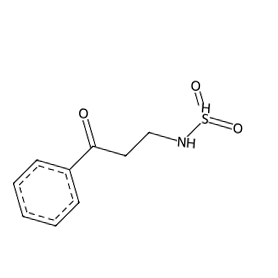 O=C(CCN[SH](=O)=O)c1ccccc1